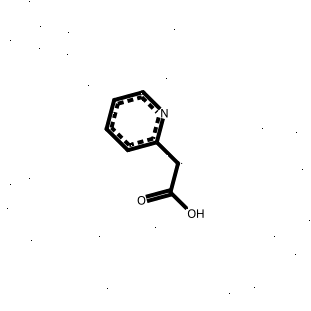 O=C(O)[CH]c1ccccn1